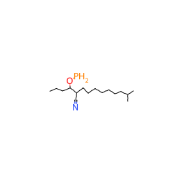 CCCC(OP)C(C#N)CCCCCCCC(C)C